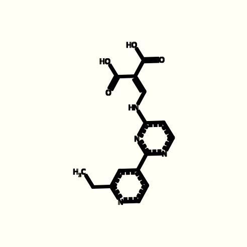 CCc1cc(-c2nccc(NC=C(C(=O)O)C(=O)O)n2)ccn1